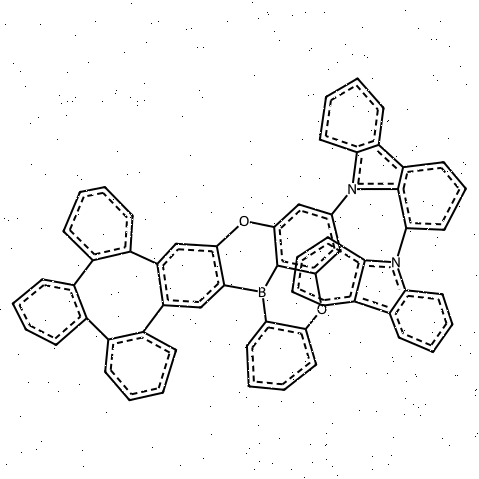 c1ccc2c(c1)Oc1cc(-n3c4ccccc4c4cccc(-n5c6ccccc6c6ccccc65)c43)cc3c1B2c1cc2c(cc1O3)-c1ccccc1-c1ccccc1-c1ccccc1-2